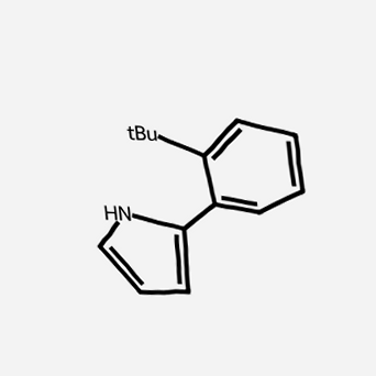 CC(C)(C)c1ccccc1-c1ccc[nH]1